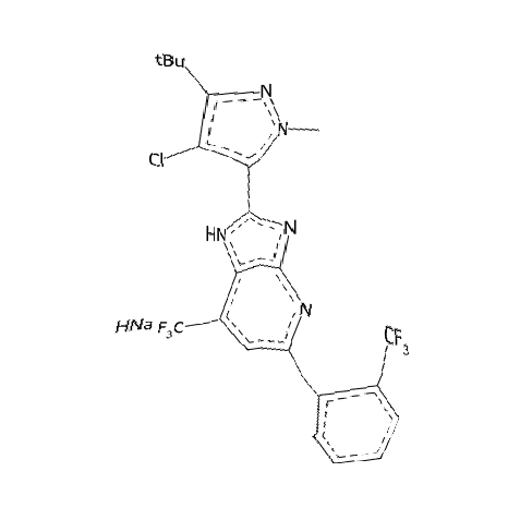 Cn1nc(C(C)(C)C)c(Cl)c1-c1nc2nc(-c3ccccc3C(F)(F)F)cc(C(F)(F)F)c2[nH]1.[NaH]